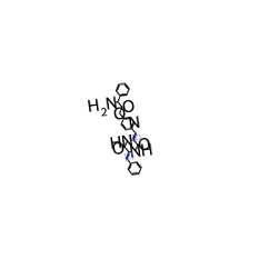 NC(C(=O)Oc1ccc(/C=c2\[nH]c(=O)/c(=C/c3ccccc3)[nH]c2=O)nc1)c1ccccc1